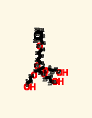 OCCCOCC(COCCCO)(COCCCO)OCCCCCOCc1ccccc1